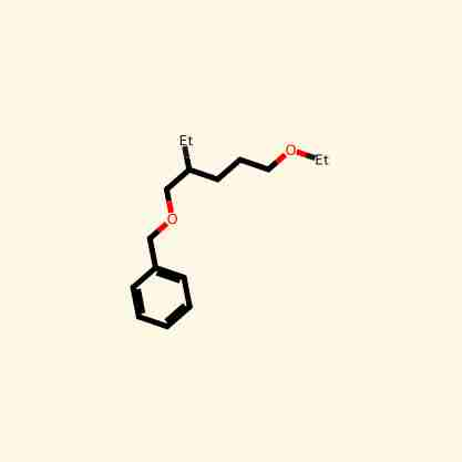 CCOCCCC(CC)COCc1ccccc1